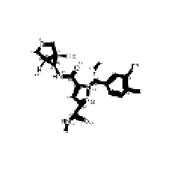 CC[C@H](c1ccc(C)c(F)c1)n1nc(C(=O)NC)cc1C(=O)N[C@H]1[C@@H]2COC[C@@H]21